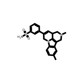 Cc1ccc2c(c1)c1c3n2CC(c2cccc(S(N)(=O)=O)c2)=CC3CN(C)C1